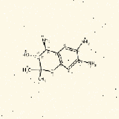 CC1(C)Oc2cc(N)c(N)cc2[C@H](N)[C@H]1O